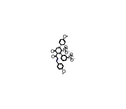 COC1=CCC([C@H]2CC(=O)C(C(=O)/C=C/c3ccc(OC)cc3)[C@H](c3cccc([N+](=O)[O-])c3)[C@H]2[N+](=O)[O-])C=C1